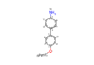 CCCCCOc1ccc(-c2ccc(N)cc2)cc1